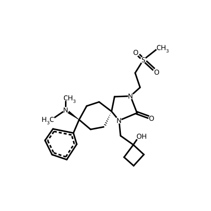 CN(C)[C@]1(c2ccccc2)CC[C@]2(CC1)CN(CCS(C)(=O)=O)C(=O)N2CC1(O)CCC1